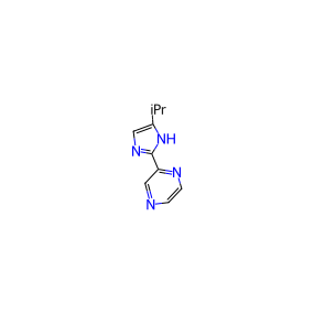 CC(C)c1cnc(-c2cnccn2)[nH]1